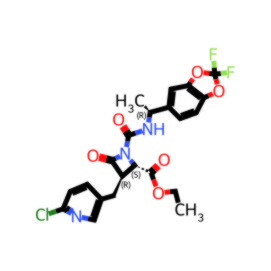 CCOC(=O)[C@@H]1[C@@H](Cc2ccc(Cl)nc2)C(=O)N1C(=O)N[C@H](C)c1ccc2c(c1)OC(F)(F)O2